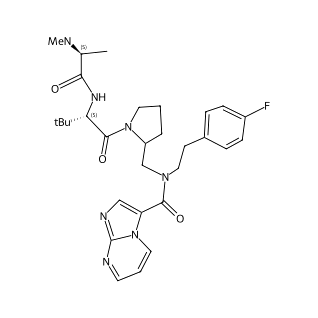 CN[C@@H](C)C(=O)N[C@H](C(=O)N1CCCC1CN(CCc1ccc(F)cc1)C(=O)c1cnc2ncccn12)C(C)(C)C